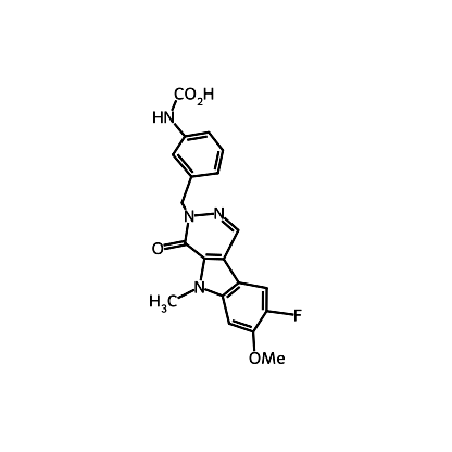 COc1cc2c(cc1F)c1cnn(Cc3cccc(NC(=O)O)c3)c(=O)c1n2C